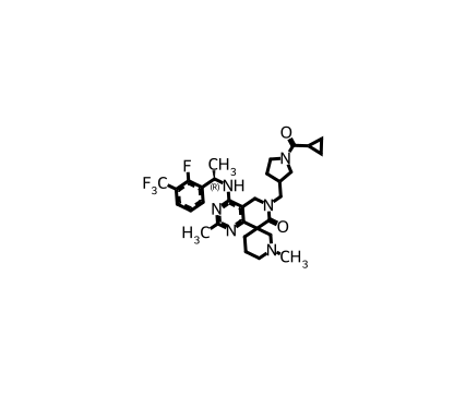 Cc1nc(N[C@H](C)c2cccc(C(F)(F)F)c2F)c2c(n1)C1(CCCN(C)C1)C(=O)N(CC1CCN(C(=O)C3CC3)C1)C2